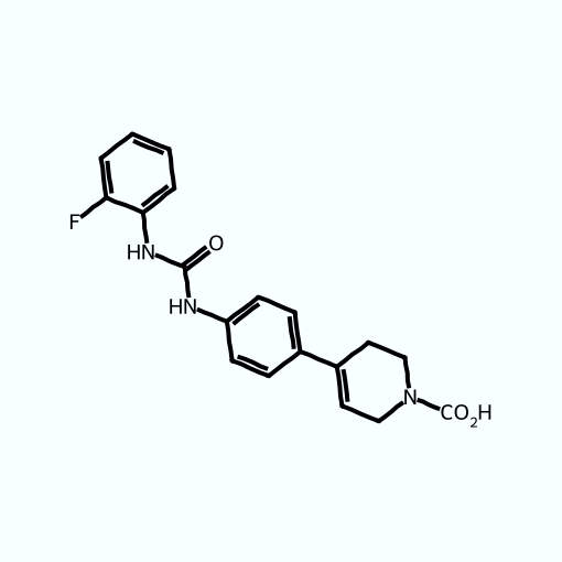 O=C(Nc1ccc(C2=CCN(C(=O)O)CC2)cc1)Nc1ccccc1F